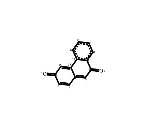 O=C1C=CC2=CC(=O)c3ccccc3C2=C1